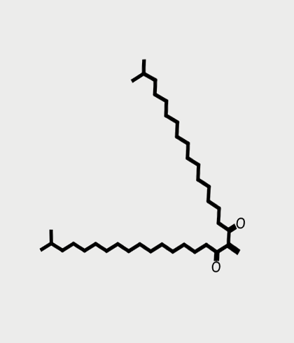 C=C(C(=O)CCCCCCCCCCCCCCC(C)C)C(=O)CCCCCCCCCCCCCCC(C)C